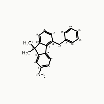 CC1(C)c2cc(N)ccc2-c2c(Cc3ccccc3)cccc21